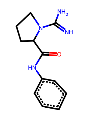 N=C(N)N1CCCC1C(=O)Nc1ccccc1